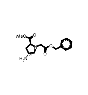 COC(=O)C1C[C@@H](N)CN1CC(=O)OCc1ccccc1